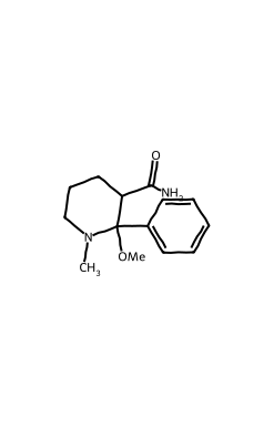 COC1(c2ccccc2)C(C(N)=O)CCCN1C